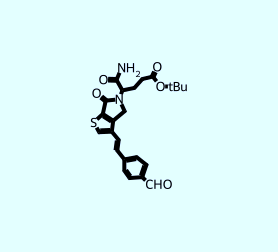 CC(C)(C)OC(=O)CCC(C(N)=O)N1Cc2c(C=Cc3ccc(C=O)cc3)csc2C1=O